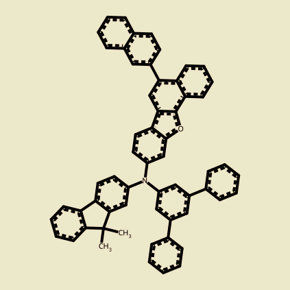 CC1(C)c2ccccc2-c2ccc(N(c3cc(-c4ccccc4)cc(-c4ccccc4)c3)c3ccc4c(c3)oc3c5ccccc5c(-c5ccc6ccccc6c5)cc43)cc21